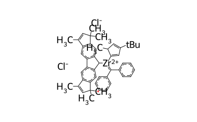 CC1=CC(C)(C)c2cc3c(cc21)-c1cc2c(cc1[CH]3[Zr+2]([C]1=CC(C(C)(C)C)=CC1C)=[C](c1ccccc1)c1ccccc1)C(C)(C)C=C2C.[Cl-].[Cl-]